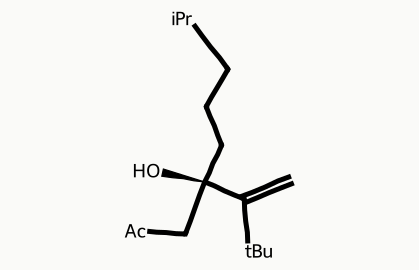 C=C(C(C)(C)C)[C@@](O)(CCCC(C)C)CC(C)=O